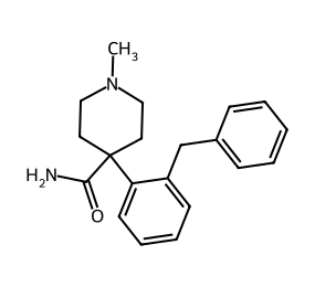 CN1CCC(C(N)=O)(c2ccccc2Cc2ccccc2)CC1